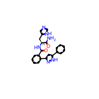 NC(=O)[C@H](Cc1cnc[nH]1)NC(=O)c1ccccc1-c1cc(-c2ccccc2)[nH]n1